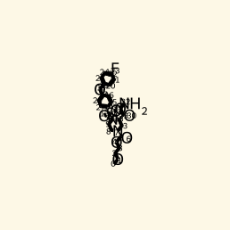 COCCOC(=O)N1CCN(S(=O)(=O)c2ccc(Oc3ccc(F)cc3)cc2)[C@@H](C(=O)ON)C1